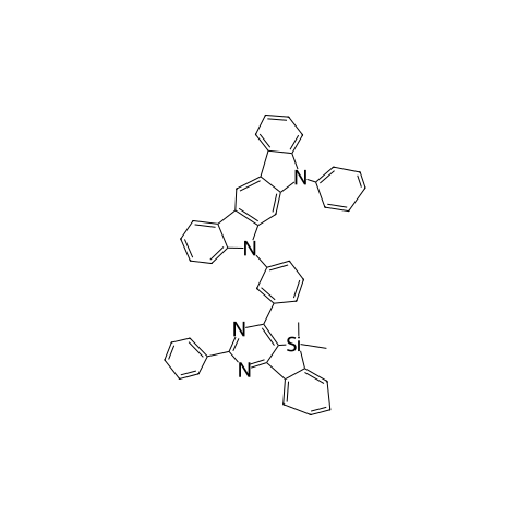 C[Si]1(C)c2ccccc2-c2nc(-c3ccccc3)nc(-c3cccc(-n4c5ccccc5c5cc6c7ccccc7n(-c7ccccc7)c6cc54)c3)c21